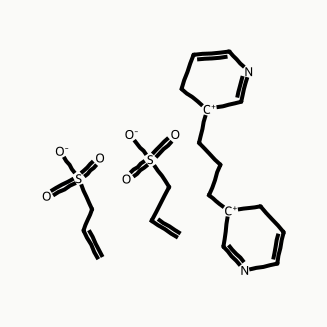 C1=CN=C[C+](CCC[C+]2C=NC=CC2)C1.C=CCS(=O)(=O)[O-].C=CCS(=O)(=O)[O-]